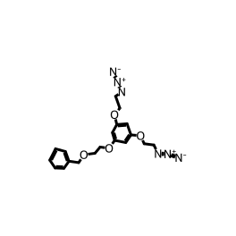 [N-]=[N+]=NCCOc1cc(OCCN=[N+]=[N-])cc(OCCOCc2ccccc2)c1